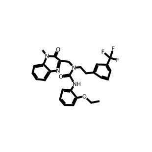 CCOc1ccccc1NC(=O)N(CCc1cccc(C(F)(F)F)c1)Cc1nc2ccccc2n(C)c1=O